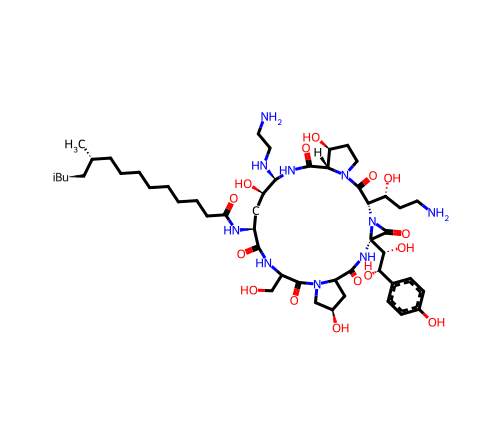 CC[C@H](C)C[C@H](C)CCCCCCCCC(=O)N[C@H]1C[C@@H](O)[C@@H](NCCN)NC(=O)[C@@H]2[C@@H](O)CCN2C(=O)[C@H]([C@H](O)CCN)N2C(=O)[C@]2([C@H](O)[C@@H](O)c2ccc(O)cc2)NC(=O)C2C[C@@H](O)CN2C(=O)C(CO)NC1=O